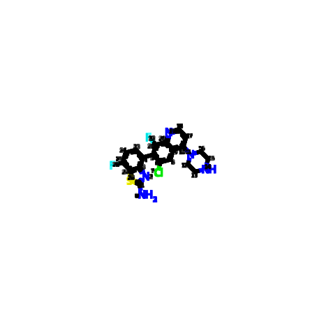 Nc1nc2c(-c3c(Cl)cc4c(N5CCNCC5)ccnc4c3F)ccc(F)c2s1